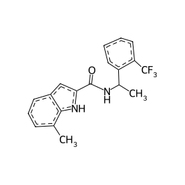 Cc1cccc2cc(C(=O)NC(C)c3ccccc3C(F)(F)F)[nH]c12